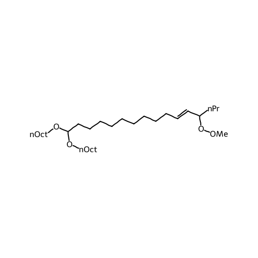 CCCCCCCCOC(CCCCCCCCCC=CC(CCC)OOC)OCCCCCCCC